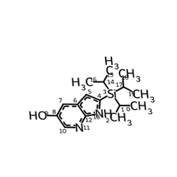 CC(C)[Si](c1cc2cc(O)cnc2[nH]1)(C(C)C)C(C)C